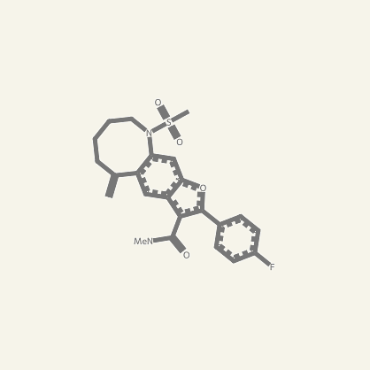 C=C1CCCCN(S(C)(=O)=O)c2cc3oc(-c4ccc(F)cc4)c(C(=O)NC)c3cc21